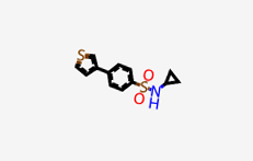 O=S(=O)(NC1CC1)c1ccc(-c2ccsc2)cc1